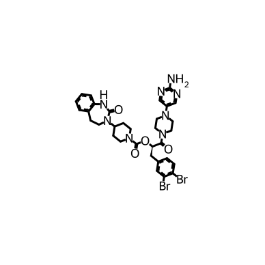 Nc1ncc(N2CCN(C(=O)[C@@H](Cc3ccc(Br)c(Br)c3)OC(=O)N3CCC(N4CCc5ccccc5NC4=O)CC3)CC2)cn1